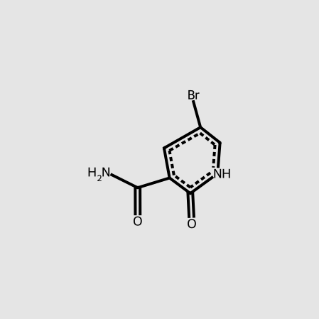 NC(=O)c1cc(Br)c[nH]c1=O